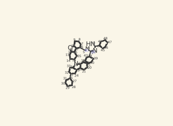 N=C(/N=C(\N=C\c1cccc2oc3ccc(-n4c5ccccc5c5cc(-c6ccccc6)ccc54)cc3c12)c1ccccc1)c1ccccc1